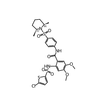 COc1cc(NS(=O)(=O)c2ccc(Cl)s2)c(C(=O)Nc2ccc(S(=O)(=O)N3[C@H](C)CCC[C@@H]3C)cc2)cc1OC